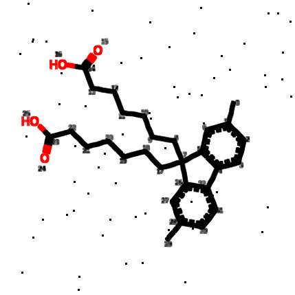 Cc1ccc2c(c1)C(CCCCCCC(=O)O)(CCCCCCC(=O)O)c1cc(C)ccc1-2